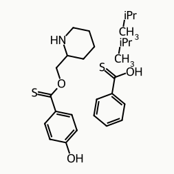 CC(C)C.CC(C)C.OC(=S)c1ccccc1.Oc1ccc(C(=S)OCC2CCCCN2)cc1